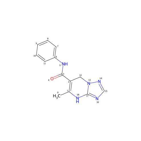 CC1=C(C(=O)Nc2ccccc2)Cn2ncnc2N1